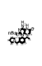 CCCCOc1nc(N)c2c(n1)N(C(C)c1ccc(CN3CCCC3)cc1)CC(=O)N2